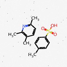 Cc1ccc(C)c(C)n1.Cc1ccc(S(=O)(=O)O)cc1